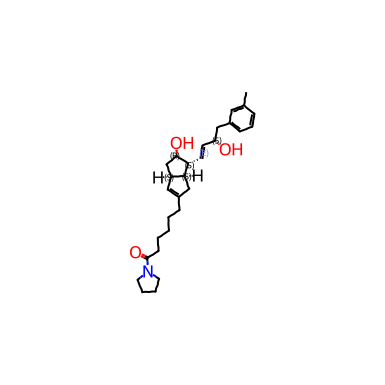 Cc1cccc(C[C@H](O)/C=C/[C@@H]2[C@H]3CC(CCCCCC(=O)N4CCCC4)=C[C@H]3C[C@H]2O)c1